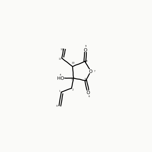 C=CCC1(O)C(=O)OC(=O)C1C=C